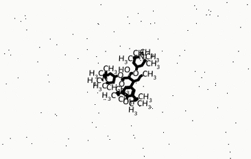 CCCC(c1cc(C(C)(C)C)c(O)c(C(C)(C)C)c1)C(C(=O)OC1CC(C)(C)N(C)C(C)(C)C1)C(O)OC1CC(C)(C)N(C)C(C)(C)C1